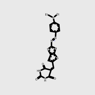 CCN(CC)c1ccc(/N=N/c2nc3sc(C=C4C(=O)NC(=O)NC4=O)cc3s2)cc1